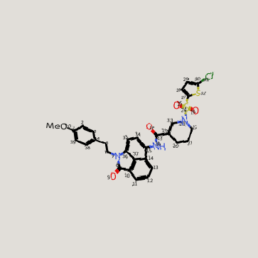 COc1ccc(CCN2C(=O)c3cccc4c(NC(=O)C5CCCN(S(=O)(=O)c6ccc(Cl)s6)C5)ccc2c34)cc1